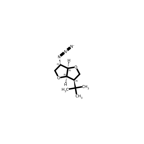 CC(C)(C)[C@@H]1CO[C@H]2[C@@H]1OC[C@@H]2N=[N+]=[N-]